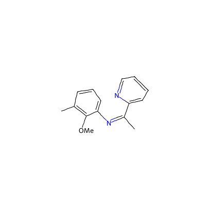 COc1c(C)cccc1N=C(C)c1ccccn1